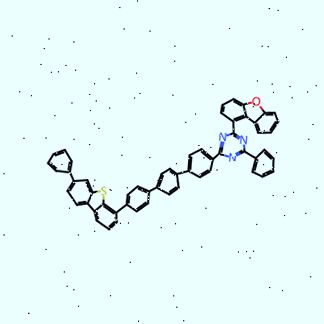 c1ccc(-c2ccc3c(c2)sc2c(-c4ccc(-c5ccc(-c6ccc(-c7nc(-c8ccccc8)nc(-c8cccc9oc%10ccccc%10c89)n7)cc6)cc5)cc4)cccc23)cc1